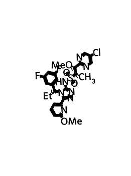 CC[C@@H](c1cc(F)cc(F)c1)n1c(NS(=O)(=O)[C@@H](C)[C@H](OC)c2ncc(Cl)cn2)nnc1-c1cccc(OC)n1